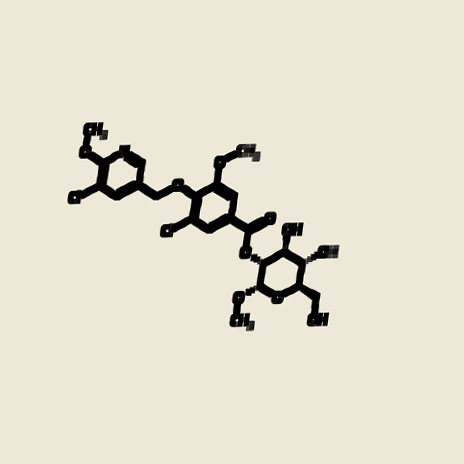 COc1cc(C(=O)O[C@H]2[C@@H](OC)O[C@H](CO)[C@@H](O)[C@@H]2O)cc(Cl)c1OCc1cnc(OC)c(Cl)c1